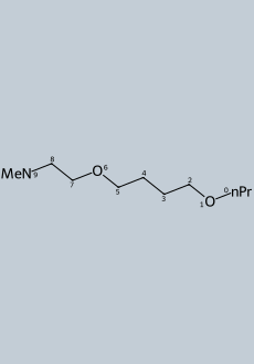 CCCOCCCCOCCNC